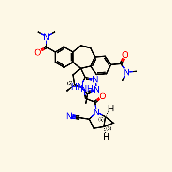 Cc1nnc(C2(C[C@H](C)NCC(=O)N3C(C#N)C[C@@H]4C[C@@H]43)c3ccc(C(=O)N(C)C)cc3CCc3cc(C(=O)N(C)C)ccc32)[nH]1